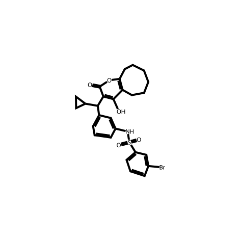 O=c1oc2c(c(O)c1C(c1cccc(NS(=O)(=O)c3cccc(Br)c3)c1)C1CC1)CCCCCC2